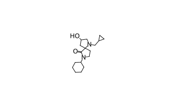 O=C1N(C2CCCCC2)CCC12CC(O)CN2CC1CC1